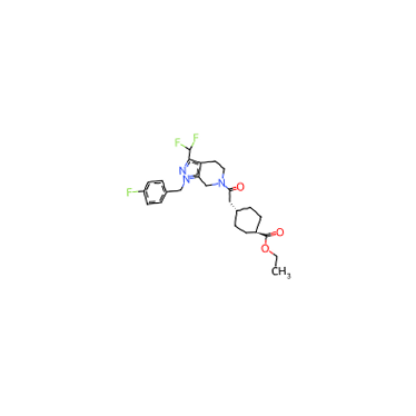 CCOC(=O)[C@H]1CC[C@H](CC(=O)N2CCc3c(C(F)F)nn(Cc4ccc(F)cc4)c3C2)CC1